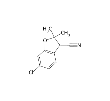 CC1(C)Oc2cc(Cl)ccc2C1C#N